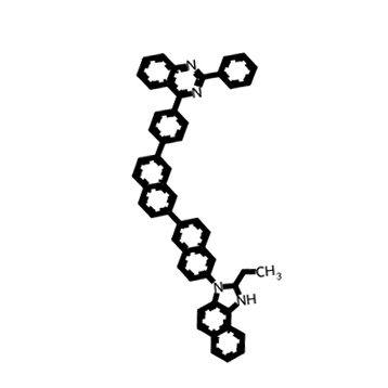 CCC1Nc2c(ccc3ccccc23)N1c1ccc2cc(-c3ccc4ccc(-c5ccc(-c6nc(-c7ccccc7)nc7ccccc67)cc5)cc4c3)ccc2c1